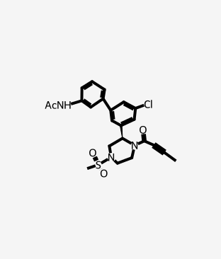 CC#CC(=O)N1CCN(S(C)(=O)=O)C[C@H]1c1cc(Cl)cc(-c2cccc(NC(C)=O)c2)c1